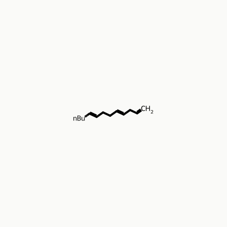 C=CCC=CCCC=CCCCC